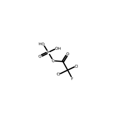 O=C(OP(=O)(O)O)C(F)(Cl)Cl